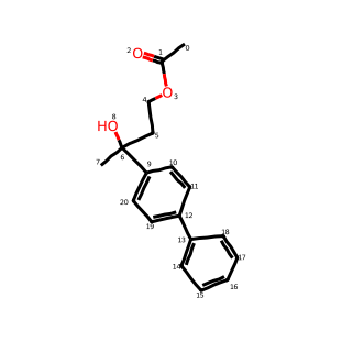 CC(=O)OCCC(C)(O)c1ccc(-c2ccccc2)cc1